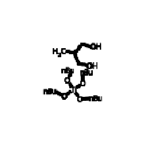 CC(CO)CO.CCCC[O][Ti]([O]CCCC)([O]CCCC)[O]CCCC